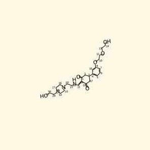 O=C1CC(c2cccc(OCCOCCO)c2)CC(=O)C1=CNCCN1CCN(CCO)CC1